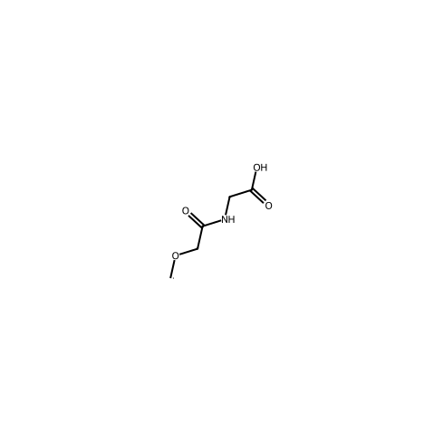 [CH2]OCC(=O)NCC(=O)O